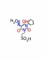 C/N=N/c1c(O)n(-c2ccccc2)c(=O)n(CCS(=O)(=O)O)c1=O